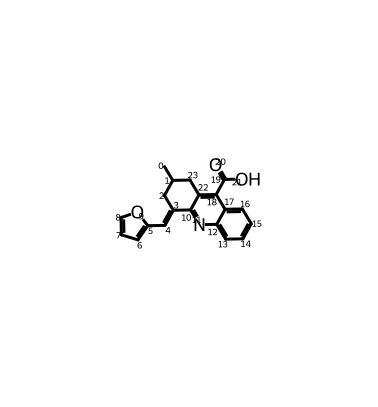 CC1C/C(=C\c2ccco2)c2nc3ccccc3c(C(=O)O)c2C1